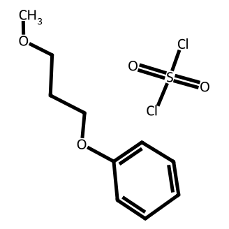 COCCCOc1ccccc1.O=S(=O)(Cl)Cl